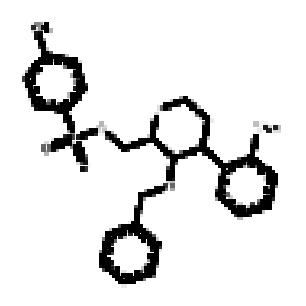 COc1ccccc1C1CCOC(COS(=O)(=O)c2ccc(C)cc2)C1OCc1ccccc1